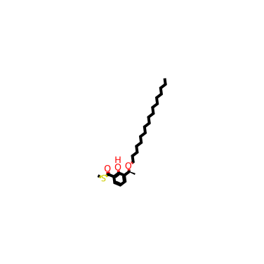 CCCCCCCCCCCCCCCCCCO[C@@H](C)c1cccc(C(=O)SC)c1O